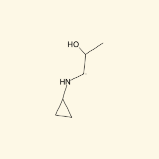 CC(O)[CH]NC1CC1